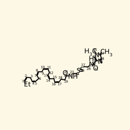 CC/C=C\C/C=C\C/C=C\C/C=C\C/C=C\C/C=C\CCC(=O)NCCSSCCNC(=O)c1c[n+](C)c(C)cn1